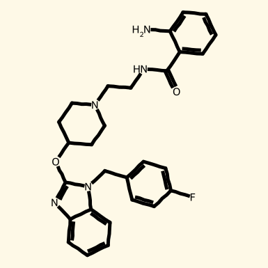 Nc1ccccc1C(=O)NCCN1CCC(Oc2nc3ccccc3n2Cc2ccc(F)cc2)CC1